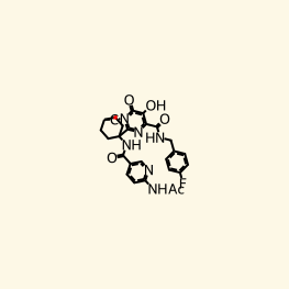 CC(=O)Nc1ccc(C(=O)NC23CCC(CC2)Cn2c3nc(C(=O)NCc3ccc(F)cc3)c(O)c2=O)cn1